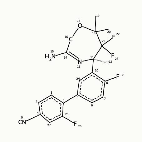 [C-]#[N+]c1ccc(-c2ccc(F)c([C@@]3(C)N=C(N)COC(C)(C)C3(F)F)c2)c(F)c1